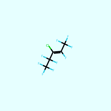 FC(=C(Cl)C(F)(F)C(F)(F)F)C(F)(F)F